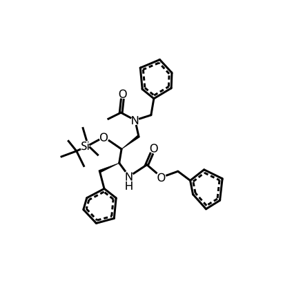 CC(=O)N(Cc1ccccc1)C[C@H](O[Si](C)(C)C(C)(C)C)[C@H](Cc1ccccc1)NC(=O)OCc1ccccc1